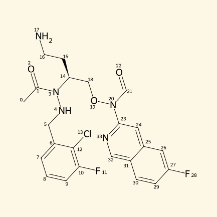 CC(=O)N(NCc1cccc(F)c1Cl)[C@@H](CCN)CON(C=O)c1cc2cc(F)ccc2cn1